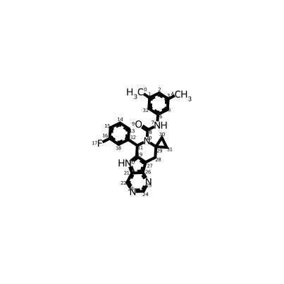 Cc1cc(C)cc(NC(=O)N2C(c3cccc(F)c3)c3[nH]c4cncnc4c3CC23CC3)c1